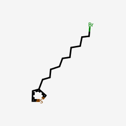 BrCCCCCCCCCCc1ccsc1